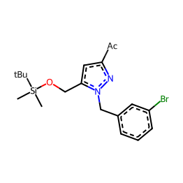 CC(=O)c1cc(CO[Si](C)(C)C(C)(C)C)n(Cc2cccc(Br)c2)n1